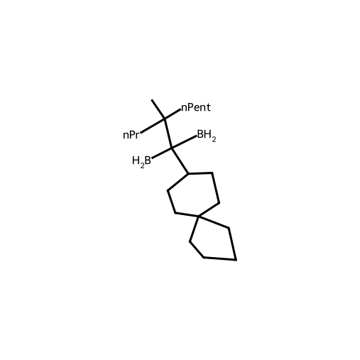 BC(B)(C1CCC2(CCCC2)CC1)C(C)(CCC)CCCCC